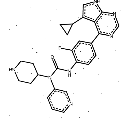 O=C(Nc1ccc(-c2ncnc3[nH]cc(C4CC4)c23)cc1F)N(c1cccnc1)C1CCNCC1